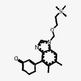 Cc1cc2c(ncn2COCC[Si](C)(C)C)c(C2=CC(=O)CCC2)c1C